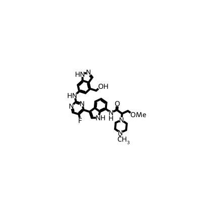 COCC(C(=O)Nc1cccc2c(-c3nc(Nc4cc(CO)c5cn[nH]c5c4)ncc3F)c[nH]c12)N1CCN(C)CC1